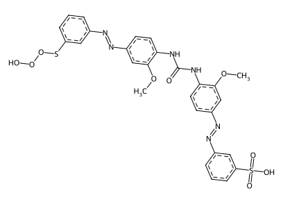 COc1cc(N=Nc2cccc(SOOO)c2)ccc1NC(=O)Nc1ccc(N=Nc2cccc(S(=O)(=O)O)c2)cc1OC